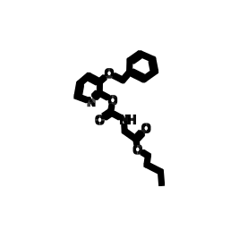 CCCCOC(=O)CNC(=O)Oc1ncccc1OCc1ccccc1